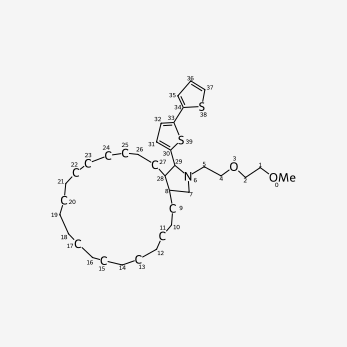 COCCOCCN1CC2CCCCCCCCCCCCCCCCCCCC2C1c1ccc(-c2cccs2)s1